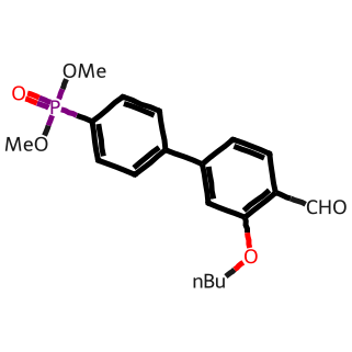 CCCCOc1cc(-c2ccc(P(=O)(OC)OC)cc2)ccc1C=O